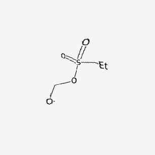 CCS(=O)(=O)OC[O]